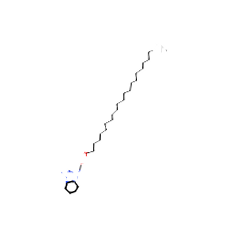 N#CCCCCCCCCCCCCCCCCCCCCC(=O)OCCn1cnc2ccccc21